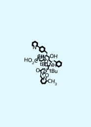 Cc1cccc(CN2C(=O)CN([C@H](C(=O)N[C@@H](Cc3ccccc3)C[C@@H](O)[C@H](Cc3ccc(-c4ccccn4)cc3)NC(=O)[C@@H](N(C)C(=O)O)C(C)(C)C)C(C)(C)C)C2=O)n1